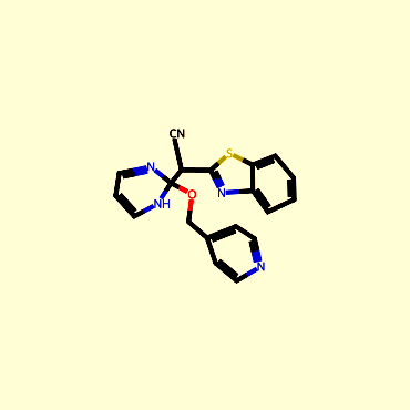 N#CC(c1nc2ccccc2s1)C1(OCc2ccncc2)N=CC=CN1